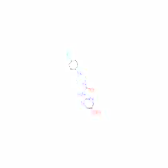 O=C(Nc1ncc(O)cn1)N1CCN(c2ccc(F)cc2)CC1